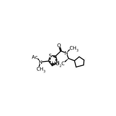 CC(=O)N(C)c1cnc(C(=O)N(C)[C@H](C(=O)O)C2CCCC2)s1